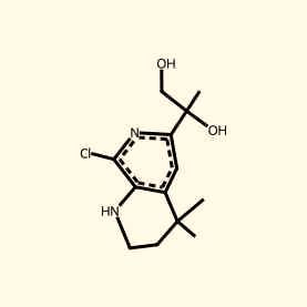 CC1(C)CCNc2c1cc(C(C)(O)CO)nc2Cl